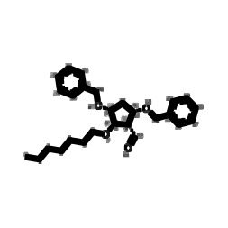 CCCCCCCO[C@@H]1[C@@H](C=O)[C@@H](OCc2ccccc2)C[C@H]1OCc1ccccc1